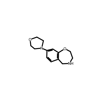 c1cc2c(cc1N1CCOCC1)OCCNC2